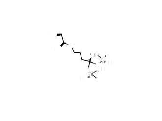 C=CC(=O)OCCCC([SiH3])(O[Si](C)(C)C)O[Si](C)(C)C